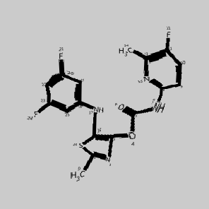 Cc1nc(OC(=O)Nc2ccc(F)c(C)n2)c(Nc2cc(F)cc(F)c2)s1